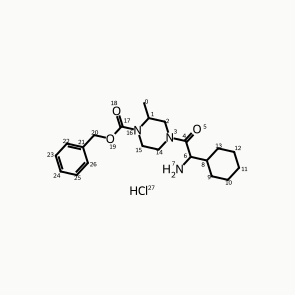 CC1CN(C(=O)C(N)C2CCCCC2)CCN1C(=O)OCc1ccccc1.Cl